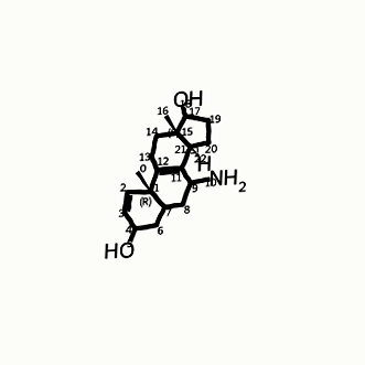 C[C@]12C=CC(O)CC1CC(N)C1=C2CC[C@]2(C)C(O)CC[C@@H]12